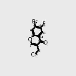 O=c1c(CCl)coc2cc(Br)c(F)cc12